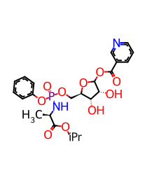 CC(C)OC(=O)[C@@H](C)N[P@](=O)(OC[C@H]1OC(OC(=O)c2cccnc2)[C@H](O)[C@@H]1O)Oc1ccccc1